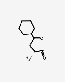 C[C@@H]([C]=O)NC(=O)C1CCCCC1